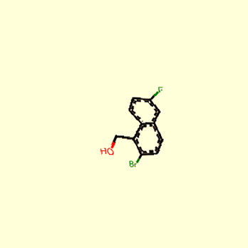 OCc1c(Br)ccc2cc(F)ccc12